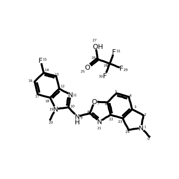 CN1Cc2ccc3oc(Nc4nc5cc(F)ccc5n4C)nc3c2C1.O=C(O)C(F)(F)F